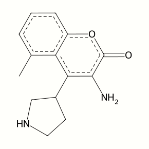 Cc1cccc2oc(=O)c(N)c(C3CCNC3)c12